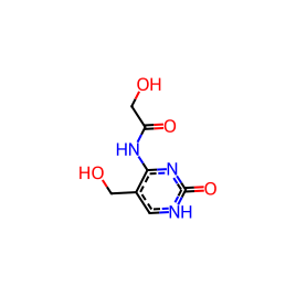 O=C(CO)Nc1nc(=O)[nH]cc1CO